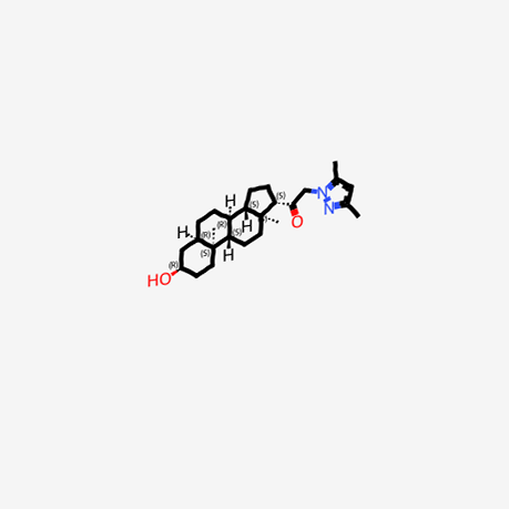 Cc1cc(C)n(CC(=O)[C@H]2CC[C@H]3[C@@H]4CC[C@@H]5C[C@H](O)CC[C@]5(C)[C@H]4CC[C@]23C)n1